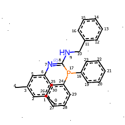 Cc1cc(C)cc(/N=C(/NCc2ccccc2)P(c2ccccc2)c2ccccc2)c1